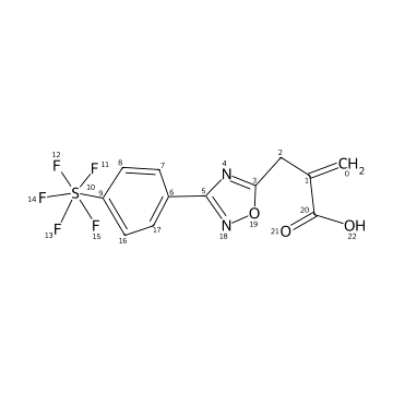 C=C(Cc1nc(-c2ccc(S(F)(F)(F)(F)F)cc2)no1)C(=O)O